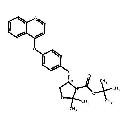 CC(C)(C)OC(=O)N1[C@@H](Cc2ccc(Oc3ccnc4ccccc34)cc2)COC1(C)C